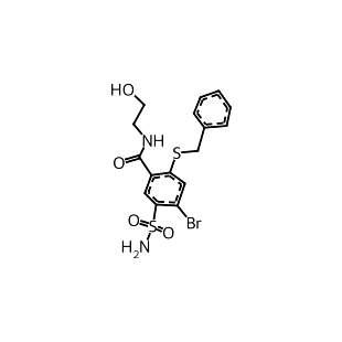 NS(=O)(=O)c1cc(C(=O)NCCO)c(SCc2ccccc2)cc1Br